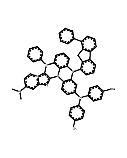 CN(C)c1ccn2c3c(nc2c1)B1c2ccc(N(c4ccc(C(C)(C)C)cc4)c4ccc(C(C)(C)C)cc4)cc2N(c2cccc4c2Cc2c(-c5ccccc5)cccc2-4)c2cccc(c21)N3c1ccccc1